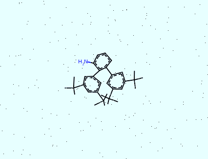 CC(C)(C)c1cc(-c2cccc(N)c2-c2cc(C(C)(C)C)cc(C(C)(C)C)c2)cc(C(C)(C)C)c1